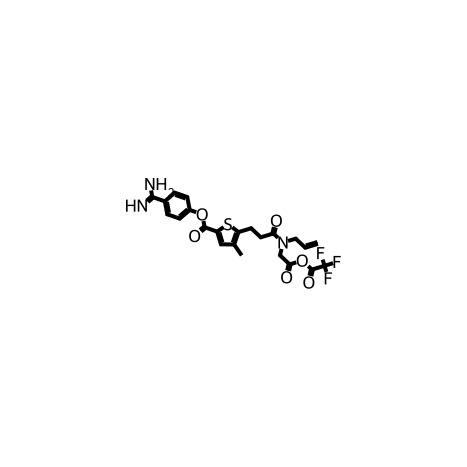 C=CCN(CC(=O)OC(=O)C(F)(F)F)C(=O)CCc1sc(C(=O)Oc2ccc(C(=N)N)cc2)cc1C